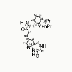 CCCOc1c(CN(C)C(=O)C=Cc2cnc3c(c2)CNCC(=O)N3)cccc1C(C)C